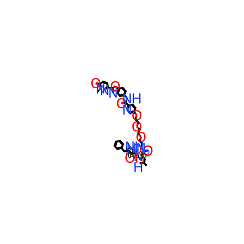 CC(C)C[C@H](NC(=O)[C@@H](O)[C@H](N)Cc1ccccc1)C(=O)NCCOCCOCCOc1ccc(C(=O)Nc2ccc3oc(-c4ccc(=O)n(C)n4)nc3c2)nc1